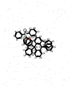 O=P(c1ccccc1)(c1ccc(-c2ccccc2C2(c3ccccc3)c3ccccc3C3(c4ccccc4)c4ccccc4-c4cccc2c43)cc1)C1C=CC=CC1